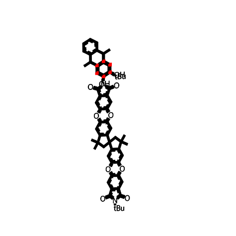 CC(C)(C)c1cc2c(cc1O)C1(C)c3ccccc3C2(C)c2cc(O)c(-n3c(=O)c4cc5oc6cc7c(cc6oc5cc4c3=O)C3(CC7(C)C)CC(C)(C)c4cc5oc6cc7c(=O)n(C(C)(C)C)c(=O)c7cc6oc5cc43)cc21